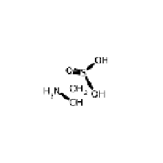 NO.O.O=S(O)O